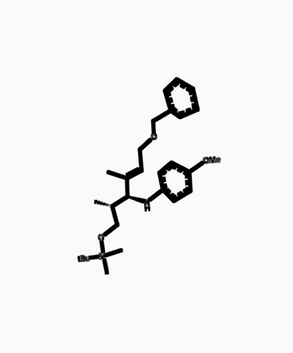 COc1ccc(N[C@H](C(C)=CCOCc2ccccc2)[C@@H](C)CO[Si](C)(C)C(C)(C)C)cc1